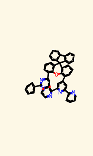 c1ccc(-c2nccc(-c3cccc4c3Oc3c(-c5cc(-c6ccccn6)nc(-c6ccccn6)c5)cccc3C43c4ccccc4-c4ccccc43)n2)cc1